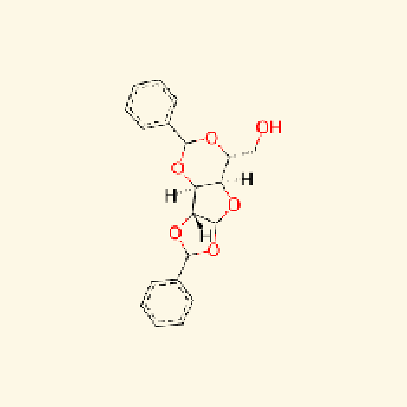 OC[C@H]1OC(c2ccccc2)O[C@H]2[C@@H]1OC1OC(c3ccccc3)O[C@@H]12